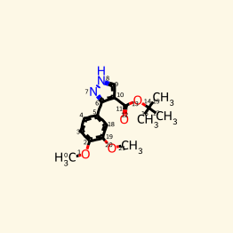 COc1ccc(-c2n[nH]cc2C(=O)OC(C)(C)C)cc1OC